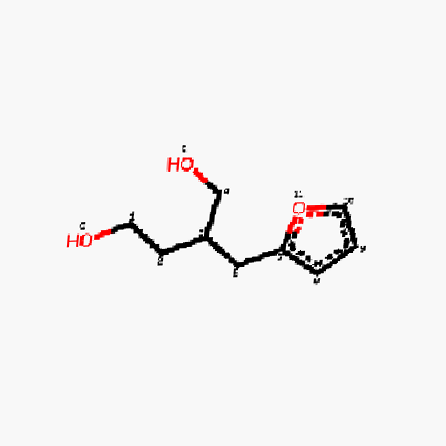 OCCC(CO)Cc1ccco1